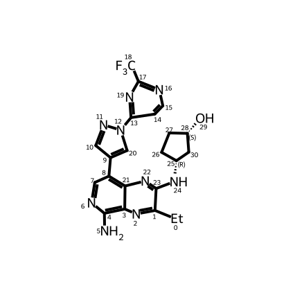 CCc1nc2c(N)ncc(-c3cnn(-c4ccnc(C(F)(F)F)n4)c3)c2nc1N[C@@H]1CC[C@H](O)C1